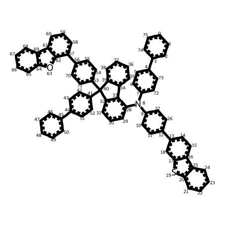 c1ccc(-c2ccc(N(c3ccc(-c4ccc5c(c4)sc4ccccc45)cc3)c3cccc4c3-c3ccccc3C4(c3ccc(-c4ccccc4)cc3)c3ccc(-c4cccc5c4oc4ccccc45)cc3)cc2)cc1